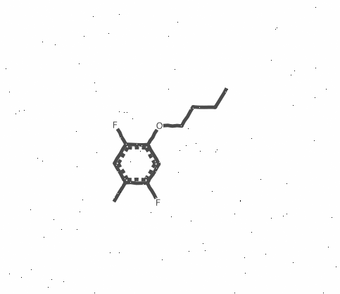 CCCCOc1cc(F)c(C)cc1F